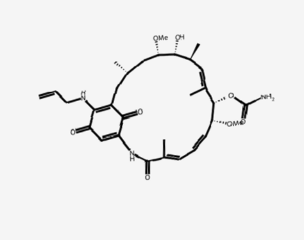 C=CCNC1=C2C[C@H](C)C[C@H](OC)[C@H](O)[C@@H](C)/C=C(\C)[C@H](OC(N)=O)[C@H](OC)/C=C\C=C(/C)C(=O)NC(=CC1=O)C2=O